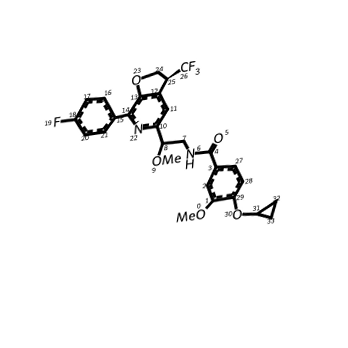 COc1cc(C(=O)NCC(OC)c2cc3c(c(-c4ccc(F)cc4)n2)OC[C@H]3C(F)(F)F)ccc1OC1CC1